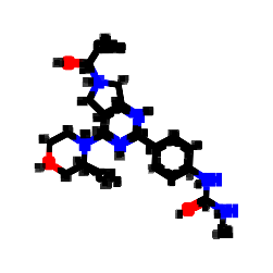 CCNC(=O)Nc1ccc(-c2nc3c(c(N4CCOC[C@@H]4C)n2)CN(C(=O)OC)C3)cc1